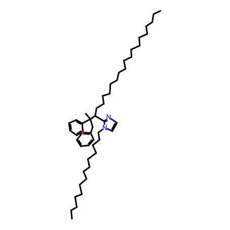 CCCCCCCCCCCCCCCCCCC(c1nccn1CCCCCCCCCCCCCC)C(C)(Cc1ccccc1)c1ccccc1